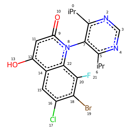 CC(C)c1ncnc(C(C)C)c1-n1c(=O)cc(O)c2cc(Cl)c(Br)c(F)c21